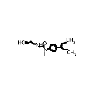 C#CCCNCC(=O)Nc1ccc(C(CCC)CCC)cc1